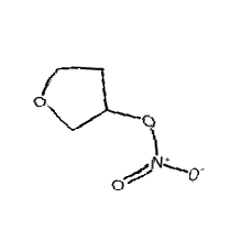 O=[N+]([O-])OC1CCOC1